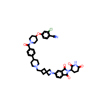 N#Cc1ccc(OC2CCN(C(=O)c3ccc(C4CCN(CC5CC6(C5)CN(c5ccc7c(c5)C(=O)N(C5CCC(=O)NC5=O)C7=O)C6)CC4)cc3)CC2)cc1Cl